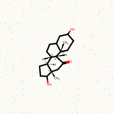 C[C@]12CCC(O)CC1CC[C@@H]1[C@H]2C(=O)C[C@]2(C)C(O)CC[C@@H]12